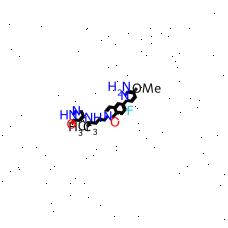 COc1ccc(-c2cc3ccn(CCCC(C)Nc4cn[nH]c(=O)c4C(F)(F)F)c(=O)c3cc2F)nc1N